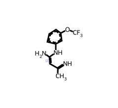 CC(=N)/C=C(/N)Nc1cccc(OC(F)(F)F)c1